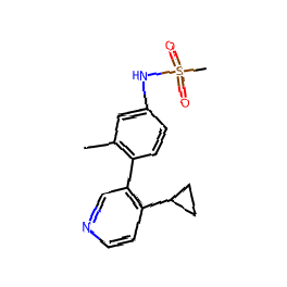 Cc1cc(NS(C)(=O)=O)ccc1-c1cnccc1C1CC1